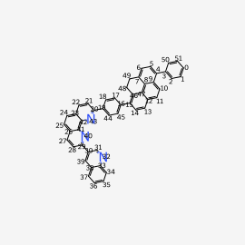 c1ccc(-c2ccc3c4c2ccc2ccc(-c5ccc(-c6ccc7ccc8ccc(-c9cnc%10ccccc%10c9)nc8c7n6)cc5)c(c24)CC3)cc1